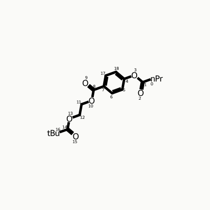 CCCC(=O)Oc1ccc(C(=O)OCCOC(=O)C(C)(C)C)cc1